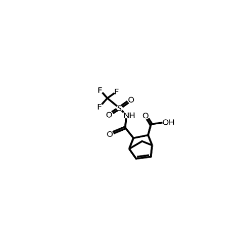 O=C(O)C1C2C=CC(C2)C1C(=O)NS(=O)(=O)C(F)(F)F